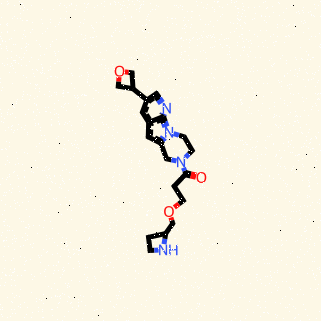 O=C(CCOCC1CCN1)N1CCn2c(cc3cc(C4COC4)cnc32)C1